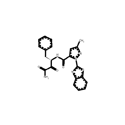 Cc1cc(C(=O)N[C@@H](Cc2ccccc2)C(=O)C(N)=O)n(-c2nc3ccccc3s2)n1